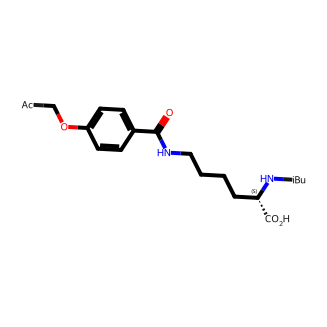 CCC(C)N[C@@H](CCCCNC(=O)c1ccc(OCC(C)=O)cc1)C(=O)O